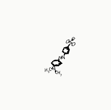 CN(C)c1ccc(N=Nc2ccc(S([O])(=O)=O)cc2)cc1